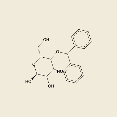 O=[N+]([O-])C1C(O)[C@@H](O)O[C@H](CO)C1OC(c1ccccc1)c1ccccc1